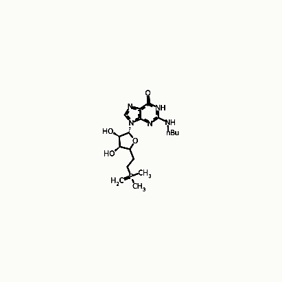 C=P(C)(C)CCC1O[C@@H](n2cnc3c(=O)[nH]c(NCCCC)nc32)[C@H](O)[C@@H]1O